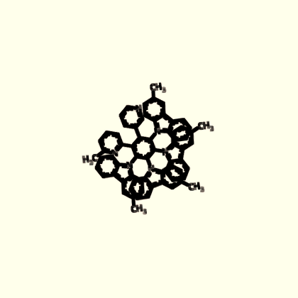 Cc1ccc2c(c1)c1ccccc1n2-c1c(-c2cccnc2)c(-c2cccc(C)n2)c(-n2c3ccccc3c3cc(C)ccc32)c(-n2c3ccccc3c3cc(C)ccc32)c1-n1c2ccccc2c2cc(C)ccc21